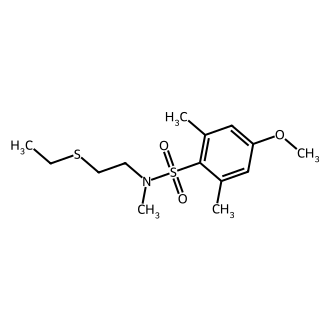 CCSCCN(C)S(=O)(=O)c1c(C)cc(OC)cc1C